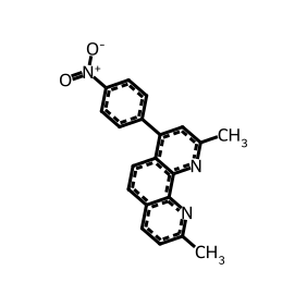 Cc1ccc2ccc3c(-c4ccc([N+](=O)[O-])cc4)cc(C)nc3c2n1